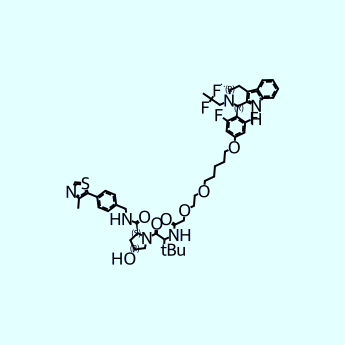 Cc1ncsc1-c1ccc(CNC(=O)[C@@H]2C[C@@H](O)CN2C(=O)C(NC(=O)COCCOCCCCCOc2cc(F)c([C@@H]3c4[nH]c5ccccc5c4C[C@@H](C)N3CC(C)(F)F)c(F)c2)C(C)(C)C)cc1